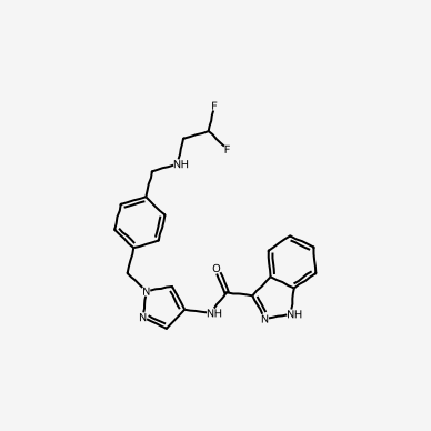 O=C(Nc1cnn(Cc2ccc(CNCC(F)F)cc2)c1)c1n[nH]c2ccccc12